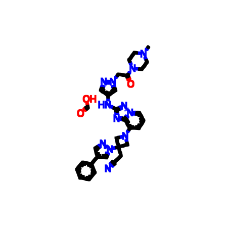 CN1CCN(C(=O)Cn2cc(Nc3nc4c(N5CC(CC#N)(n6cc(-c7ccccc7)cn6)C5)cccn4n3)cn2)CC1.O=CO